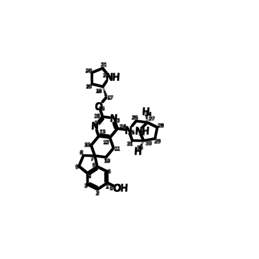 Oc1ccc2c(c1)C1(CC2)CCc2c(nc(OC[C@@H]3CCCN3)nc2N2C[C@H]3CC[C@@H](C2)N3)C1